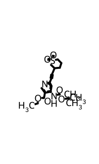 CCOC(=O)c1cnc(C#CC2CCCS(=O)(=O)C2)cc1NC(=O)OC(C)(C)C